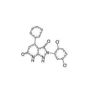 O=c1cc(-c2ccccc2)c2c(=O)n(-c3cc(Cl)ccc3Cl)[nH]c2[nH]1